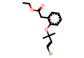 CCOC(=O)Cc1ccccc1OC(C)(C)/C=C/Br